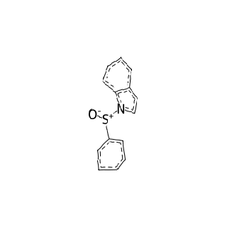 [O-][S+](c1ccccc1)n1ccc2ccccc21